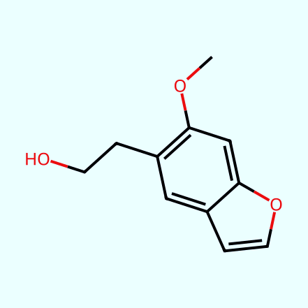 COc1cc2occc2cc1CCO